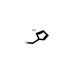 [Co].[O]CC1C=CC=C1